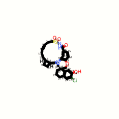 O=C1NS(=O)(=O)CCC=CCC[C@@H]2CC[C@H]2CN2C[C@@]3(CCCc4cc(Cl)c(O)cc43)COc3ccc1cc32